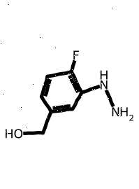 NNc1cc(CO)ccc1F